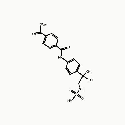 CCCS(=O)(=O)NCC(C)(O)c1ccc(NC(=O)c2ccc(C(=O)OC)cn2)cc1